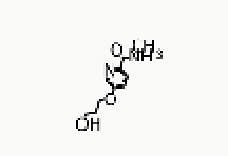 CNC(=O)c1ccc(OCCCO)cn1